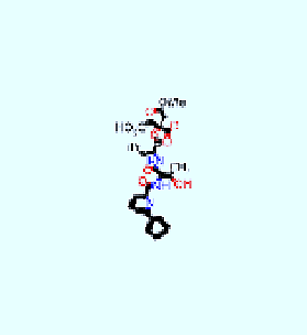 COC(=O)C[C@]1(CC(=O)O)OB(C(CC(C)C)NC(=O)C(NC(=O)c2cccc(-c3ccccc3)n2)C(C)O)OC1=O